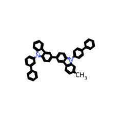 Cc1ccc2c3cc(-c4ccc5c(c4)c4ccccc4n5-c4cccc(-c5ccccc5)c4)ccc3n(-c3ccc(-c4ccccc4)cc3)c2c1